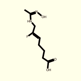 CC(=NO)NCC(F)=CCCCC(=O)O